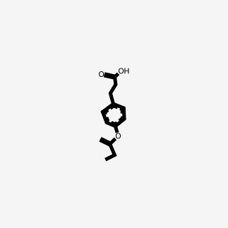 C=C(CC)Oc1ccc(CCC(=O)O)cc1